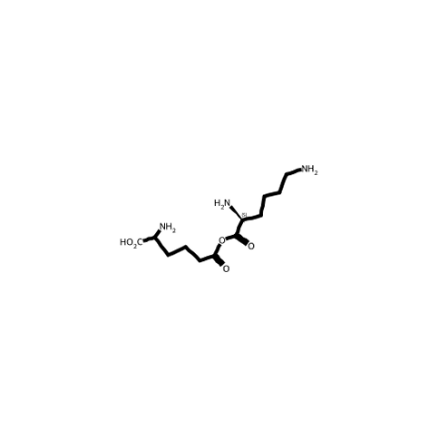 NCCCC[C@H](N)C(=O)OC(=O)CCCC(N)C(=O)O